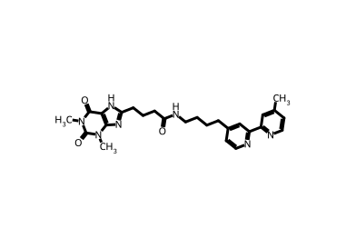 Cc1ccnc(-c2cc(CCCCNC(=O)CCCc3nc4c([nH]3)c(=O)n(C)c(=O)n4C)ccn2)c1